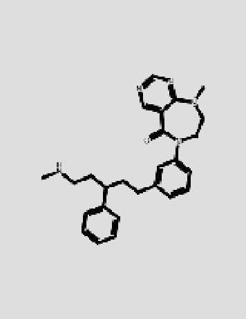 CNCCC(CCc1cccc(N2CCN(C)c3ncncc3C2=O)c1)c1ccccc1